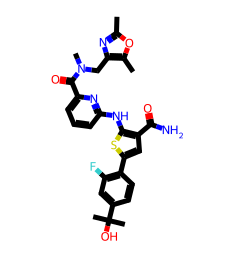 Cc1nc(CN(C)C(=O)c2cccc(Nc3sc(-c4ccc(C(C)(C)O)cc4F)cc3C(N)=O)n2)c(C)o1